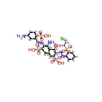 Nc1ccc(S(=O)(=O)O)c(N=Nc2c(S(=O)(=O)O)cc3cc(S(=O)(=O)O)c(N=Nc4ccccc4S(=O)(=O)CCBr)c(O)c3c2N)c1